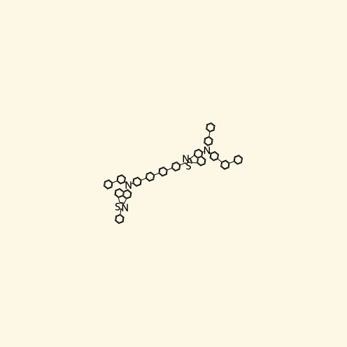 c1ccc(-c2ccc(N(c3ccc(-c4cccc(-c5ccccc5)c4)cc3)c3ccc4c5c(cccc35)-c3sc(-c5ccc(-c6ccc(-c7ccc(-c8ccc(N(c9cccc(-c%10ccccc%10)c9)c9ccc%10c%11c(cccc9%11)-c9sc(-c%11ccccc%11)nc9-%10)cc8)cc7)cc6)cc5)nc3-4)cc2)cc1